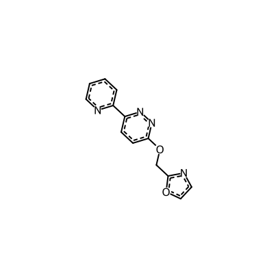 c1ccc(-c2ccc(OCc3ncco3)nn2)nc1